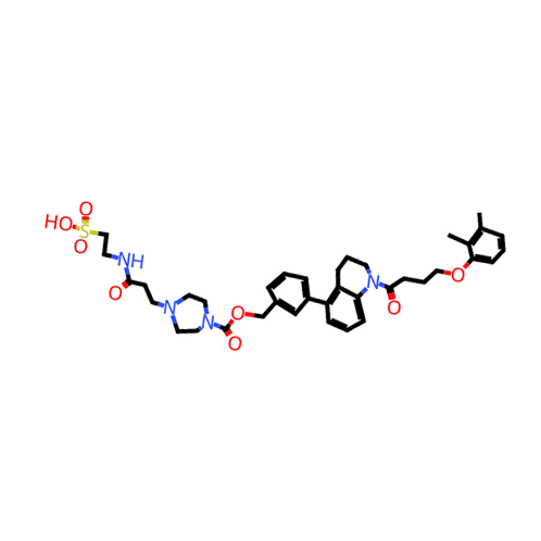 Cc1cccc(OCCCC(=O)N2CCCc3c(-c4cccc(COC(=O)N5CCN(CCC(=O)NCCS(=O)(=O)O)CC5)c4)cccc32)c1C